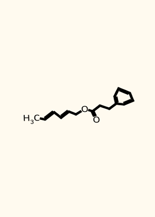 CC=CC=CCOC(=O)CCc1ccccc1